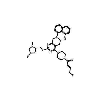 CN1C[C@H](F)C[C@H]1COc1nc2c(c(N3CCN(C(=O)/C=C/CF)CC3)n1)CCN(c1cccc3cccc(Cl)c13)C2